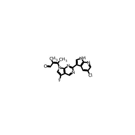 C/C(C=O)=C(\C)n1cc(F)c2cnc(-c3c[nH]c4ncc(Cl)cc34)nc21